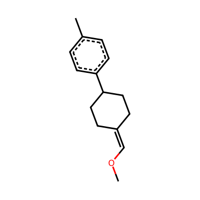 COC=C1CCC(c2ccc(C)cc2)CC1